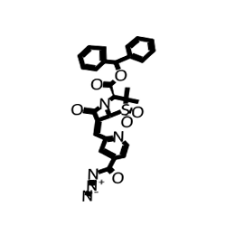 CC1(C)[C@H](C(=O)OC(c2ccccc2)c2ccccc2)N2C(=O)/C(=C/c3cc(C(=O)N=[N+]=[N-])ccn3)C2S1(=O)=O